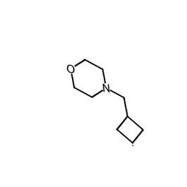 [CH]1CC(CN2CCOCC2)C1